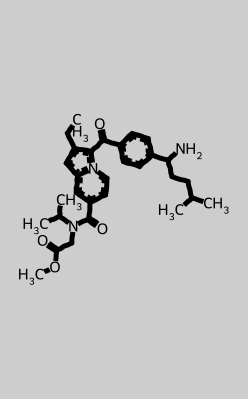 CCc1cc2cc(C(=O)N(CC(=O)OC)C(C)C)ccn2c1C(=O)c1ccc(C(N)CCC(C)C)cc1